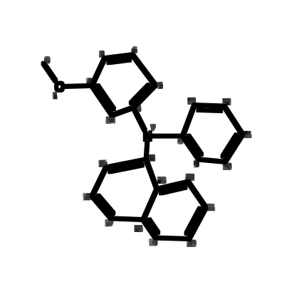 COc1cccc(N(c2ccccc2)c2cccc3ccccc23)c1